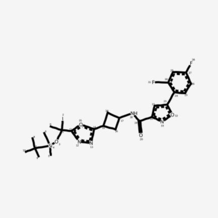 CC(I)(O[Si](C)(C)C(C)(C)C)c1nnc(C2CC(NC(=O)c3cc(-c4ccc(F)cc4F)on3)C2)o1